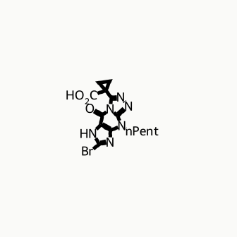 CCCCCn1c2nc(Br)[nH]c2c(=O)n2c(C3(C(=O)O)CC3)nnc12